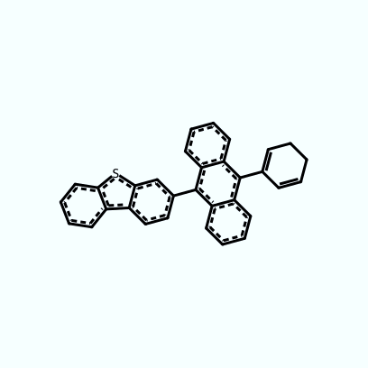 C1=CC(c2c3ccccc3c(-c3ccc4c(c3)sc3ccccc34)c3ccccc23)=CCC1